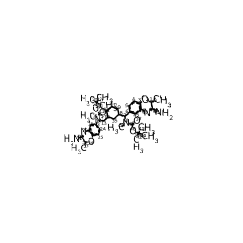 CC1Oc2ccc(C(C3CCCC(C[N+](C)(C(=O)OC(C)(C)C)c4ccc5c(c4)N=C(N)C(C)O5)C3)N(C)C(=O)OC(C)(C)C)cc2N=C1N